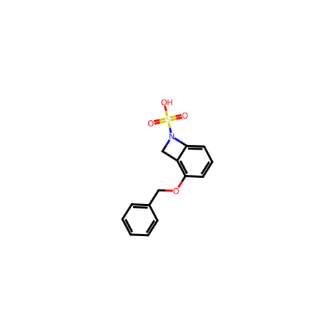 O=S(=O)(O)N1Cc2c(OCc3ccccc3)cccc21